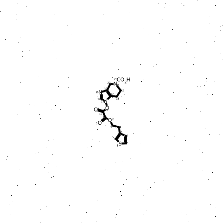 O=C(OCCc1ccsc1)C(=O)On1cnc2c1CCN(C(=O)O)C2